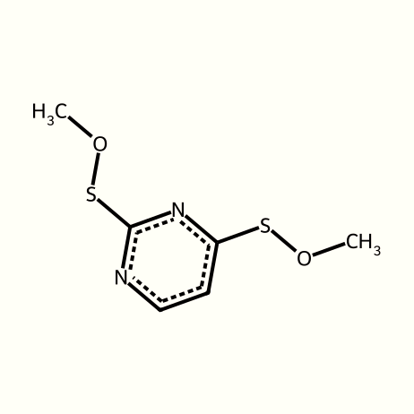 COSc1ccnc(SOC)n1